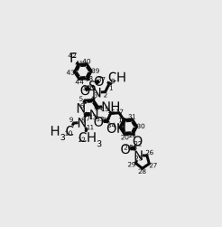 C#CCN(c1cnc(N(CC)CC)nc1NC(Cc1ccc(OC(=O)N2CCCC2)cc1)C(=O)O)S(=O)(=O)c1ccc(F)cc1